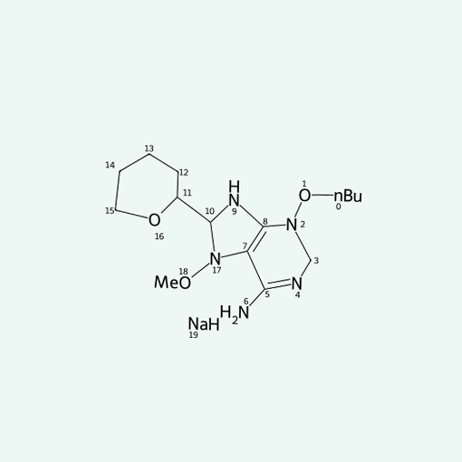 CCCCON1CN=C(N)C2=C1NC(C1CCCCO1)N2OC.[NaH]